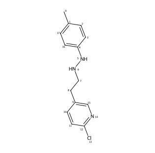 Cc1ccc(NNCCc2ccc(Cl)nc2)cc1